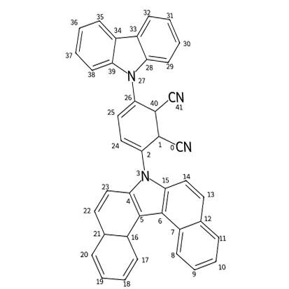 N#CC1C(n2c3c(c4c5ccccc5ccc42)C2C=CC=CC2C=C3)=CC=C(n2c3ccccc3c3ccccc32)C1C#N